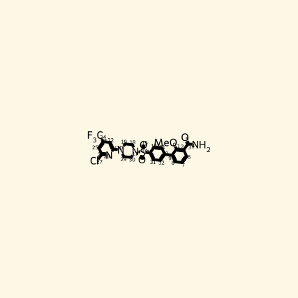 COc1c(C(N)=O)cccc1-c1ccc(S(=O)(=O)N2CCN(c3cc(C(F)(F)F)cc(Cl)n3)CC2)cc1